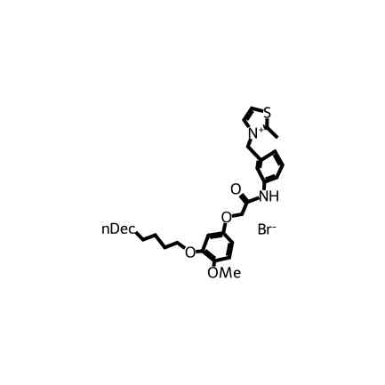 CCCCCCCCCCCCCCOc1cc(OCC(=O)Nc2cccc(C[n+]3ccsc3C)c2)ccc1OC.[Br-]